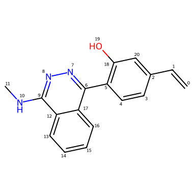 C=Cc1ccc(-c2nnc(NC)c3ccccc23)c(O)c1